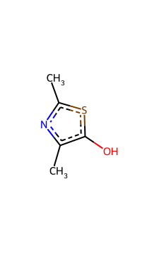 Cc1nc(C)c(O)s1